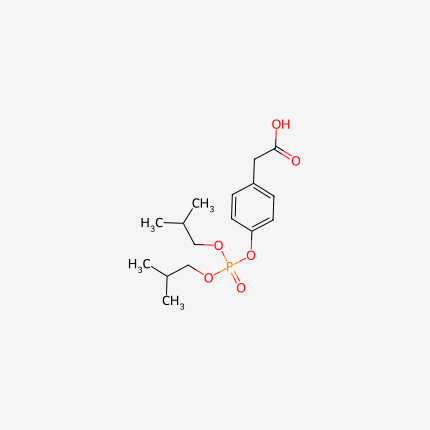 CC(C)COP(=O)(OCC(C)C)Oc1ccc(CC(=O)O)cc1